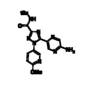 COc1ccc(-n2nc(C(=O)NC(C)(C)C)nc2-c2cnc(N)cn2)cn1